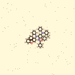 CC1(C)c2ccccc2-c2c(N(c3ccccc3)c3cc(N(c4ccc5oc6ccccc6c5c4)c4ccccc4-c4ccccc4)c4nc(-c5ccccc5)oc4c3)cccc21